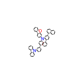 c1ccc(-c2ccc(-c3cccc4ccccc34)cc2N(c2ccc(-c3cccc(-n4c5ccccc5c5ccccc54)c3)cc2)c2ccc3c(c2)oc2ccccc23)cc1